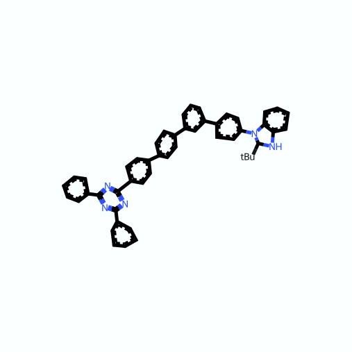 CC(C)(C)C1Nc2ccccc2N1c1ccc(-c2cccc(-c3ccc(-c4ccc(-c5nc(-c6ccccc6)nc(-c6ccccc6)n5)cc4)cc3)c2)cc1